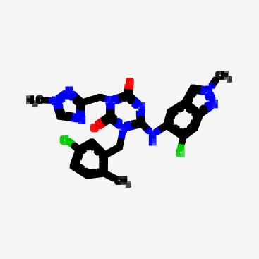 Cc1ccc(Cl)cc1Cn1c(Nc2cc3cn(C)nc3cc2Cl)nc(=O)n(Cc2ncn(C)n2)c1=O